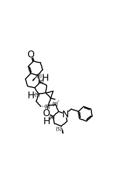 C[C@H]1C[C@H]2O[C@]3(CC[C@H]4C5CCC6=CC(=O)CC[C@]6(C)[C@H]5CC45CC53C)[C@H](C)C2N(Cc2ccccc2)C1